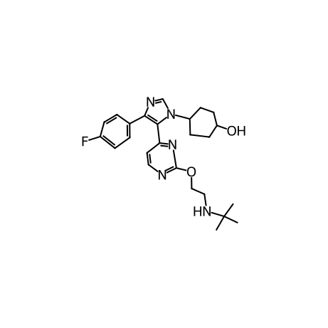 CC(C)(C)NCCOc1nccc(-c2c(-c3ccc(F)cc3)ncn2C2CCC(O)CC2)n1